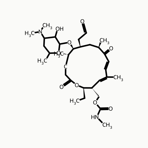 CC[C@H]1OC(=O)CC[C@H](C)[C@@H](OC2OC(C)CC(N(C)C)C2O)[C@@H](CC=O)C[C@@H](C)C(=O)/C=C/C(C)=C/[C@@H]1COC(=O)NC